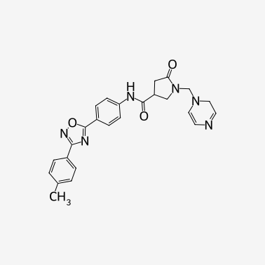 Cc1ccc(-c2noc(-c3ccc(NC(=O)C4CC(=O)N(CN5C=CN=CC5)C4)cc3)n2)cc1